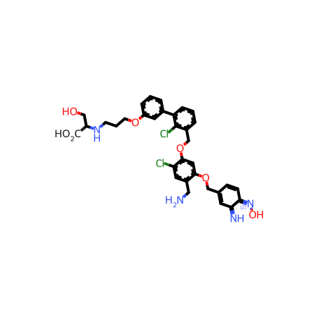 N=C1C=C(COc2cc(OCc3cccc(-c4cccc(OCCCNC(CO)C(=O)O)c4)c3Cl)c(Cl)cc2CN)C=C/C1=N/O